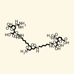 CC(=O)N[C@@H]1CC=C(C(=O)O)OC1[C@@H](OC(=O)NCCCCCCNC(=O)CC(CC(N)=O)C(=O)CCCCCCNNC(=O)O[C@H](C(=O)CO)C1C[C@@H](NC(=N)N)C=C(C(=O)O)O1)C(O)CO